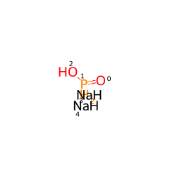 O=[PH2]O.[NaH].[NaH]